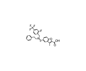 Cc1c(C(=O)O)oc2ccc(SN(CCc3ccccc3)Cc3ccc(C(F)(F)F)cc3F)cc12